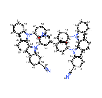 N#Cc1ccc2c3ccc4c5ccccc5n(-c5ccccc5)c4c3n(-c3ccc(-c4cncc(-n5c6cc(C#N)ccc6c6ccc7c8ccccc8n(-c8ccccc8)c7c65)c4)cc3)c2c1